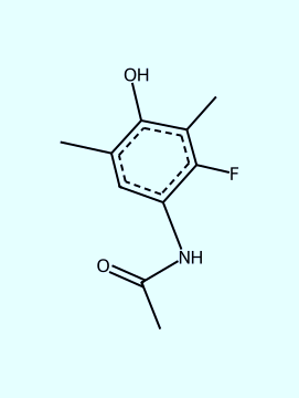 CC(=O)Nc1cc(C)c(O)c(C)c1F